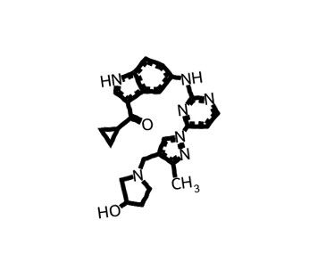 Cc1nn(-c2ccnc(Nc3ccc4[nH]cc(C(=O)C5CC5)c4c3)n2)cc1CN1CCC(O)C1